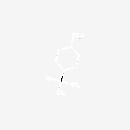 CCC(C)(C)[C@H]1CC[C@H](C(=O)O)CC1